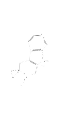 [CH2-][NH+]1C2=C(CC3(CC3)[NH+]([CH2-])C2)c2ccncc21